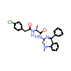 C[C@H](NC(=O)Cc1ccc(Cl)cc1)C(=O)N[C@@H]1CN(C)c2ccccc2C(c2ccccc2)=N1